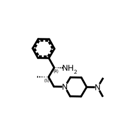 C[C@@H](CN1CCC(N(C)C)CC1)[C@@H](N)c1ccccc1